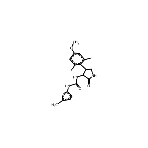 COc1cc(F)c(C2CNC(=O)C2NC(=O)Nc2ccc(C)s2)c(F)c1